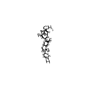 Cc1cn2cc(-c3cc4ccn(C5CCNCC5)c(=O)c4cc3F)cc(F)c2n1